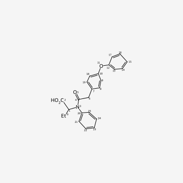 CCC(C(=O)O)N(C(=O)Cc1ccc(Oc2ccccc2)cc1)c1ccccc1